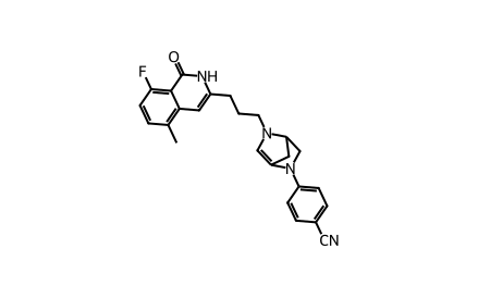 Cc1ccc(F)c2c(=O)[nH]c(CCCN3C=C4CC3CN4c3ccc(C#N)cc3)cc12